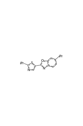 CC(C)c1ccc2nc(-c3cnc(C(C)C)s3)oc2c1